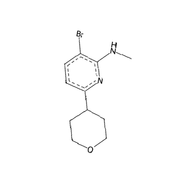 CNc1nc(C2CCOCC2)ccc1Br